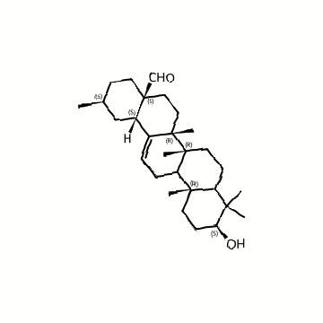 C[C@H]1CC[C@]2(C=O)CC[C@@]3(C)C(=CCC4[C@@]5(C)CC[C@H](O)C(C)(C)C5CC[C@]43C)[C@@H]2C1